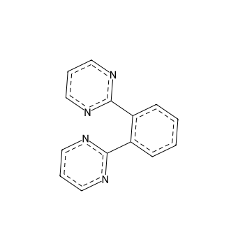 c1cnc(-c2ccccc2-c2ncccn2)nc1